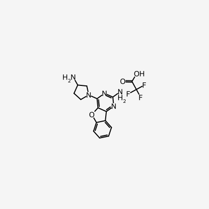 Nc1nc(N2CCC(N)C2)c2oc3ccccc3c2n1.O=C(O)C(F)(F)F